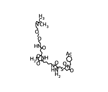 CC(=O)C1CCC(CN2C(=O)CC(SC[C@@H](N)C(=O)NCCCC[C@H](NC(=O)CCC(=O)NCCOCCOCCN3CC3(C)C)C(N)=O)C2=O)CC1